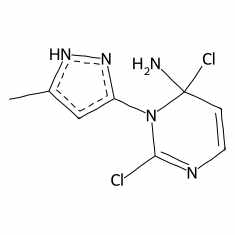 Cc1cc(N2C(Cl)=NC=CC2(N)Cl)n[nH]1